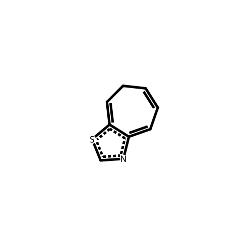 C1=CCC=c2scnc2=C1